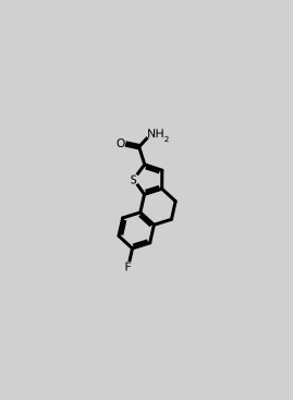 NC(=O)c1cc2c(s1)-c1ccc(F)cc1CC2